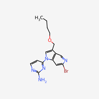 CCCCOCc1cn(-c2ccnc(N)n2)c2cc(Br)ncc12